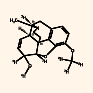 [2H]OC1([2H])C=C[C@H]2[C@@]3([2H])Cc4ccc(OC([2H])([2H])[2H])c5c4[C@@]2(CCN3C)C1([2H])O5